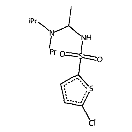 CC(C)N(C(C)C)C(C)NS(=O)(=O)c1ccc(Cl)s1